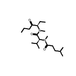 CCCC(=O)[C@@H](CC)N(C)C(=O)[C@H](C(C)C)N(C)C(=O)CCC(C)C